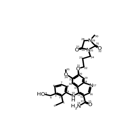 CCc1c(CO)cccc1Nc1c(C(N)=O)cnc2cc(OCCCN3C(=O)CN(C)C3=O)c(OC)cc12